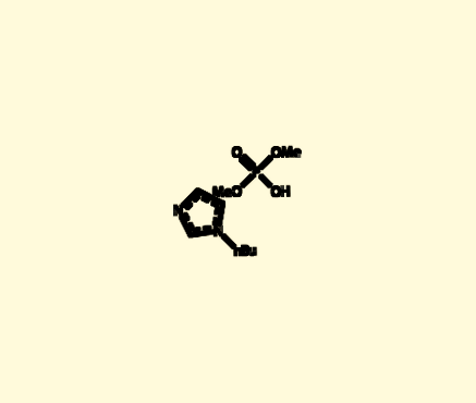 CCCCn1ccnc1.COP(=O)(O)OC